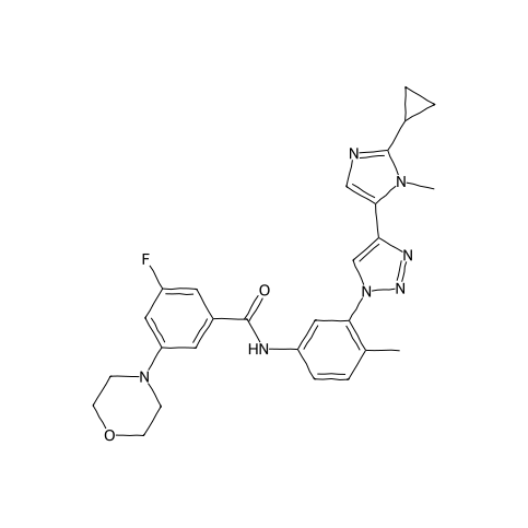 Cc1ccc(NC(=O)c2cc(F)cc(N3CCOCC3)c2)cc1-n1cc(-c2cnc(C3CC3)n2C)nn1